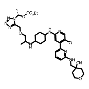 CCOC(=O)O[C@@H](C)n1nnnc1COCC(C)NC1CCC(Nc2cc(-c3cccc(NCC4(C#N)CCOCC4)n3)c(Cl)cn2)CC1